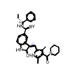 B=C(N[C@H](CC)c1ccccc1)c1ccc2c(c1)/C(=C/c1[nH]c(C)c(C(=O)N3CCCCC3)c1C)C(=O)N2